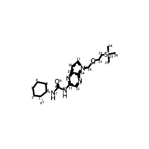 C[C@@H]1CCCC[C@@H]1NC(=O)Nc1cnc2c(ccn2COCC[Si](C)(C)C)n1